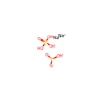 O=P(O)(O)O.[Na+].[Na+].[O-]P([O-])O